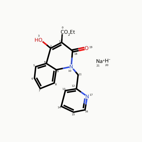 CCOC(=O)c1c(O)c2ccccc2n(Cc2ccccn2)c1=O.[H-].[Na+]